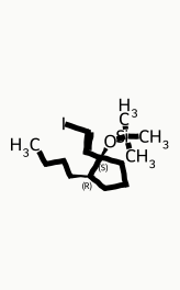 CCCC[C@@H]1CCC[C@]1(C=CI)O[Si](C)(C)C